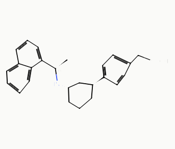 C[C@@H](N[C@H]1CCC[C@H](c2ccc(CC(=O)O)cc2)C1)c1cccc2ccccc12